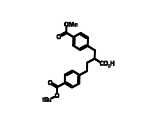 COC(=O)c1ccc(CC(CCc2ccc(C(=O)OC(C)(C)C)cc2)C(=O)O)cc1